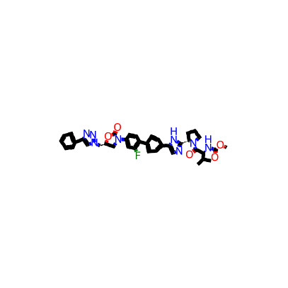 COC(=O)N[C@H](C(=O)N1CCC[C@H]1c1ncc(-c2ccc(-c3ccc(N4C[C@H](Cn5cc(-c6ccccc6)nn5)OC4=O)cc3F)cc2)[nH]1)C(C)C